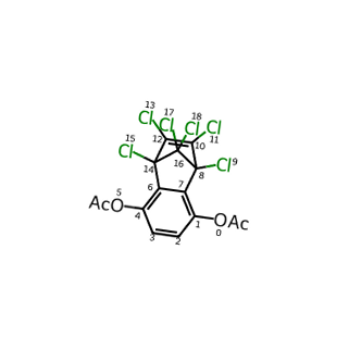 CC(=O)Oc1ccc(OC(C)=O)c2c1C1(Cl)C(Cl)=C(Cl)C2(Cl)C1(Cl)Cl